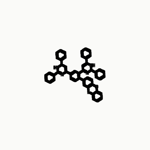 C1=C(c2ccc(-c3ccc4c(c3)Sc3ccccc3O4)c(C3=NC(c4ccccc4)NC(c4ccccc4)=C3)c2)N=C(c2ccccc2)NC1c1ccccc1